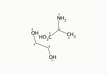 CC(N)C(=O)O.OCCO